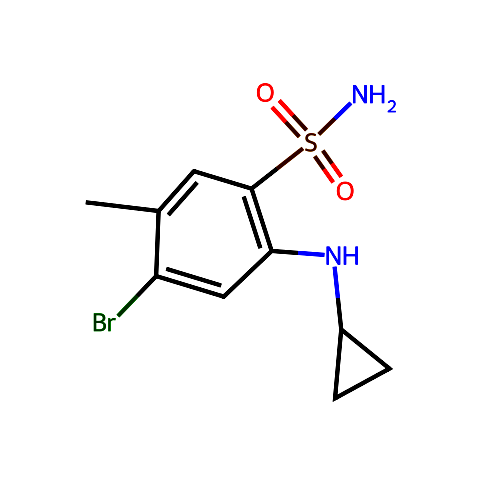 Cc1cc(S(N)(=O)=O)c(NC2CC2)cc1Br